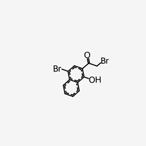 O=C(CBr)c1cc(Br)c2ccccc2c1O